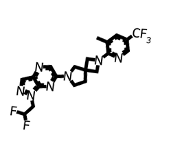 Cc1cc(C(F)(F)F)cnc1N1CC2(CCN(c3cnc4cnn(CC(F)F)c4n3)C2)C1